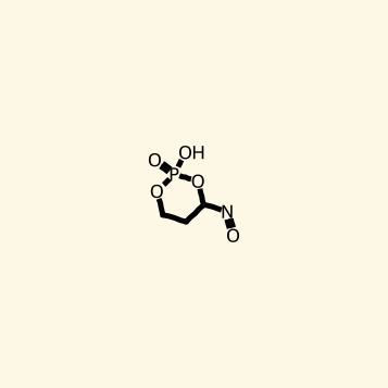 O=NC1CCOP(=O)(O)O1